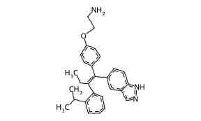 CCC(=C(c1ccc(OCCN)cc1)c1ccc2[nH]ncc2c1)c1ccccc1C(C)C